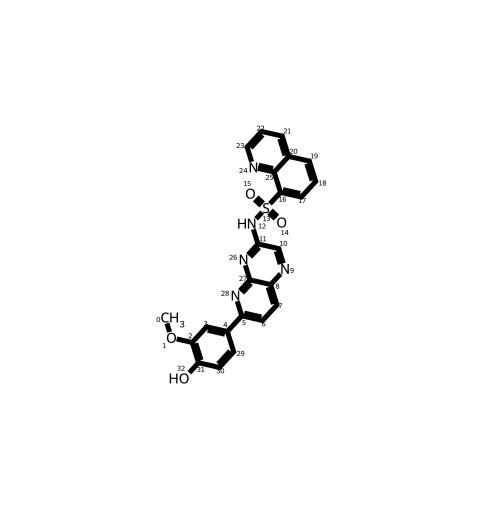 COc1cc(-c2ccc3ncc(NS(=O)(=O)c4cccc5cccnc45)nc3n2)ccc1O